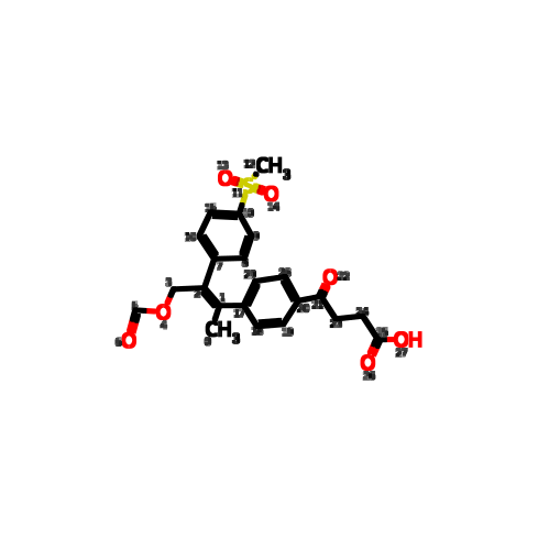 C/C(=C(\COC=O)c1ccc(S(C)(=O)=O)cc1)c1ccc(C(=O)CCC(=O)O)cc1